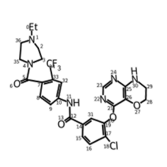 CCN1CCN(C(=O)c2ccc(NC(=O)c3ccc(Cl)c(Oc4ncnc5c4OCCN5)c3)cc2C(F)(F)F)CC1